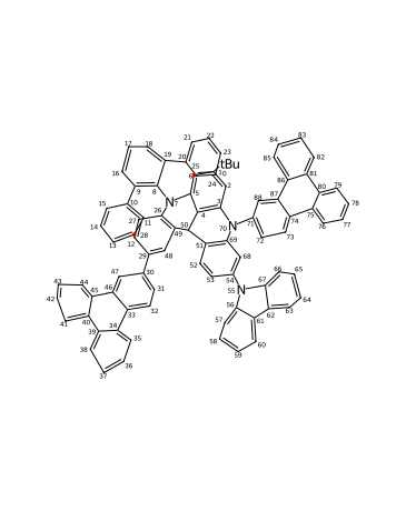 CC(C)(C)c1cc2c3c(c1)N(c1c(-c4ccccc4)cccc1-c1ccccc1)c1ccc(-c4ccc5c6ccccc6c6ccccc6c5c4)cc1C3c1ccc(-n3c4ccccc4c4ccccc43)cc1N2c1ccc2c3ccccc3c3ccccc3c2c1